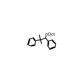 CCCCCCCCC(c1ccccc1)C(C)(C)c1cc[c]cc1